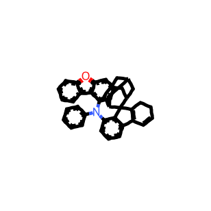 C1=CC2=C(CC1)C1(c3c2cccc3N(c2ccccc2)c2cccc3oc4ccccc4c23)C2CC3CC(C2)CC1C3